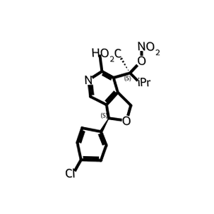 Cc1ncc2c(c1[C@](O[N+](=O)[O-])(C(=O)O)C(C)C)CO[C@H]2c1ccc(Cl)cc1